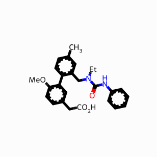 CCN(Cc1cc(C)ccc1-c1cc(CC(=O)O)ccc1OC)C(=O)Nc1ccccc1